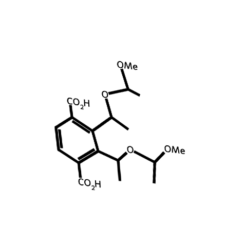 COC(C)OC(C)c1c(C(=O)O)ccc(C(=O)O)c1C(C)OC(C)OC